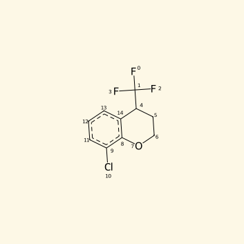 FC(F)(F)C1CCOc2c(Cl)cccc21